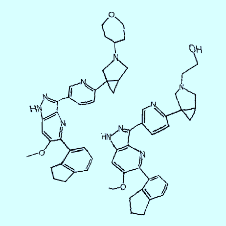 COc1cc2[nH]nc(-c3ccc(C45CC4CN(C4CCOCC4)C5)nc3)c2nc1-c1cccc2c1CCC2.COc1cc2[nH]nc(-c3ccc(C45CC4CN(CCO)C5)nc3)c2nc1-c1cccc2c1CCC2